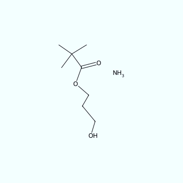 CC(C)(C)C(=O)OCCCO.N